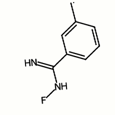 [CH2]c1cccc(C(=N)NF)c1